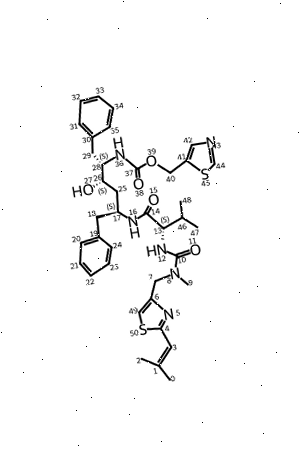 CC(C)=Cc1nc(CN(C)C(=O)N[C@H](C(=O)N[C@@H](Cc2ccccc2)C[C@H](O)[C@H](Cc2ccccc2)NC(=O)OCc2cncs2)C(C)C)cs1